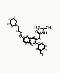 CC(C)NC(=O)Cc1cc2cc(OCCCN3CCCCC3)ccc2nc1-c1cccc(Cl)c1